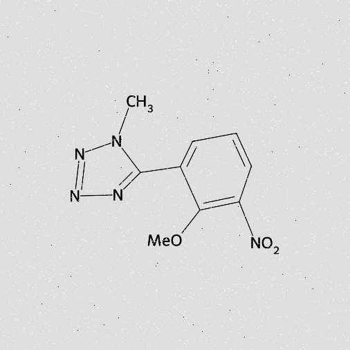 COc1c(-c2nnnn2C)cccc1[N+](=O)[O-]